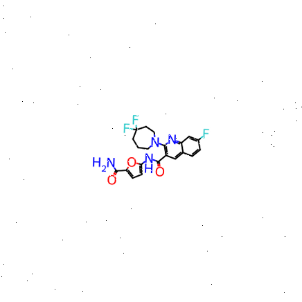 NC(=O)c1ccc(NC(=O)c2cc3ccc(F)cc3nc2N2CCCC(F)(F)CC2)o1